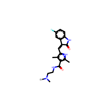 CCN(C)CCNC(=O)c1c(C)[nH]c(/C=C2\C(=O)Nc3ccc(F)cc32)c1C